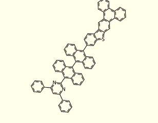 c1ccc(-c2cc(-c3ccccc3)nc(-c3c4ccccc4c(-c4c5ccccc5c(-c5ccc6c(c5)sc5cc7c8ccccc8c8ccccc8c7cc56)c5ccccc45)c4ccccc34)n2)cc1